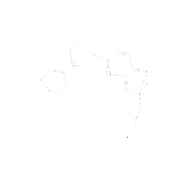 CC(C)(C)OC(=O)Cc1cc2nc(-c3cccc(-c4ccncc4)c3)ccc2cn1